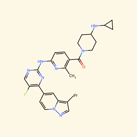 Cc1nc(Nc2ncc(F)c(-c3ccn4ncc(C(C)C)c4c3)n2)ccc1C(=O)N1CCC(NC2CC2)CC1